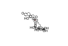 C[C@H]1CC2C3CCC4=CC(=O)C=C[C@]4(C)[C@@]3(Cl)[C@@H](O)C[C@]2(C)[C@@]1(OC(=O)CCCON(O)O)C(=O)COC(=O)CCCC(CON(O)O)ON(O)O